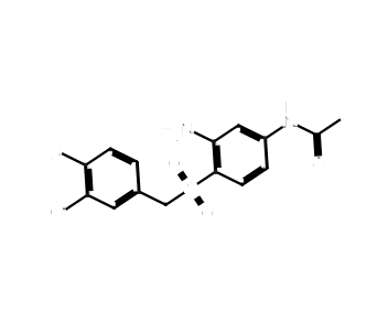 CC(=O)Nc1ccc(S(=O)(=O)Cc2ccc(Cl)c(Cl)c2)c(N)c1